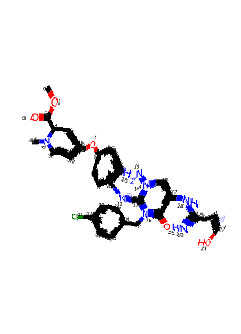 COC(=O)C1C=C(Oc2ccc(/N=c3\n(N)cc(NC(=N)/C=C\O)c(=O)n3Cc3ccc(Cl)cc3)cc2)C=CN1C